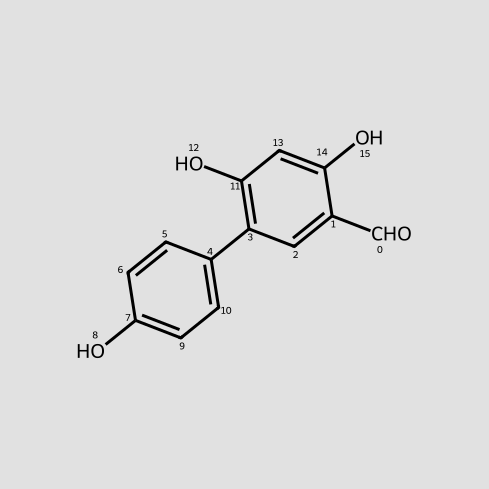 O=Cc1cc(-c2ccc(O)cc2)c(O)cc1O